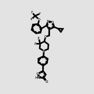 O=c1cc(-c2ccc(N3CCC(OCc4c(-c5ccccc5OC(F)(F)F)noc4C4CC4)C(F)(F)C3)cc2)o[nH]1